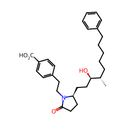 C[C@@H](CCCCCc1ccccc1)[C@H](O)CC[C@H]1CCC(=O)N1CCc1ccc(C(=O)O)cc1